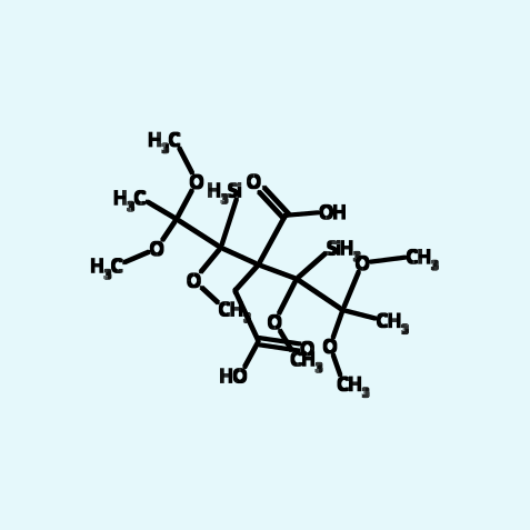 COC(C)(OC)C([SiH3])(OC)C(CC(=O)O)(C(=O)O)C([SiH3])(OC)C(C)(OC)OC